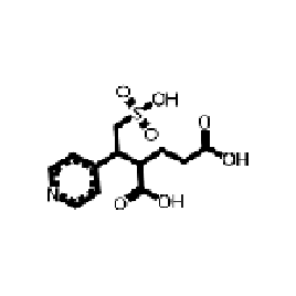 O=C(O)CCC(C(=O)O)C(CS(=O)(=O)O)c1ccncc1